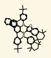 CC(C)(C)c1ccc(N2c3oc4cc5c(cc4c3B3c4c(cc6c(oc7ccccc76)c42)-c2ccc(C(C)(C)C)cc2N3c2ccc3c(c2)C(C)(C)CCC3(C)C)C(C)(C)CCC5(C)C)c(-c2ccccc2)c1